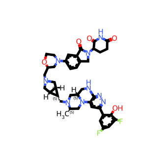 C[C@H]1CN2c3cc(-c4cc(F)cc(F)c4O)nnc3NC[C@H]2CN1C[C@@H]1[C@@H]2CN(CC3CN(c4ccc5c(c4)C(=O)N(C4CCC(=O)NC4=O)C5)CCO3)C[C@@H]21